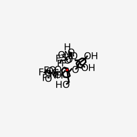 O=S(=O)(NS(=O)(=O)C(F)(F)F)OCC12CC3(O)CC(O)(C1)CC(OCC14CC5CC(CO)(CC(C1)C5OS(=O)(=O)NS(=O)(=O)C(F)(F)F)C4)(C3)C2